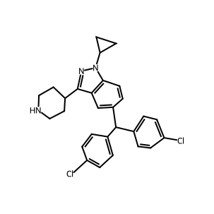 Clc1ccc(C(c2ccc(Cl)cc2)c2ccc3c(c2)c(C2CCNCC2)nn3C2CC2)cc1